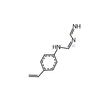 C=Cc1ccc(N/C=N\C=N)cc1